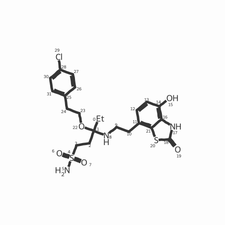 CCC(CCS(N)(=O)=O)(NCCc1ccc(O)c2[nH]c(=O)sc12)OCCc1ccc(Cl)cc1